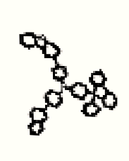 c1ccc(C2(c3ccc(N(c4ccc(-c5ccc6ccccc6c5)cc4)c4ccc(-c5ccc6sc7ccccc7c6c5)cc4)cc3)c3ccccc3-c3ccccc32)cc1